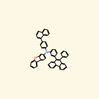 c1ccc(-c2c(-c3cccc(N(c4ccc(-c5cccc6ccccc56)cc4)c4ccc5c(c4)oc4ccccc45)c3)c3ccccc3c3ccccc23)cc1